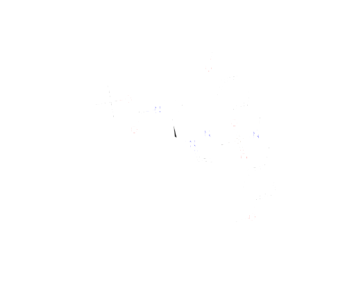 COc1ccc(CN(Cc2ccc(OC)cc2)S(=O)(=O)c2ccn(C[C@@H]3CCN3C(=O)OC(C)(C)C)n2)cc1